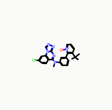 CN(c1cccc(-c2c(C(C)(C)C)ccc[n+]2[O-])c1)c1nc2nncn2c2cc(Cl)ccc12